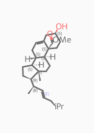 COC(=O)[C@]12CC[C@H](O)CC1=CC[C@@H]1[C@@H]2CC[C@]2(C)[C@@H]([C@H](C)/C=C/CC(C)C)CC[C@@H]12